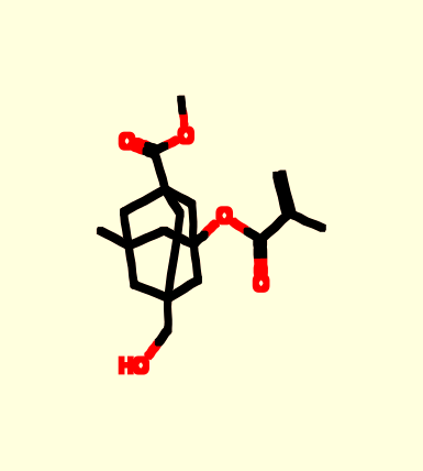 C=C(C)C(=O)OC12CC3(C)CC(CO)(C1)CC(C(=O)OC)(C3)C2